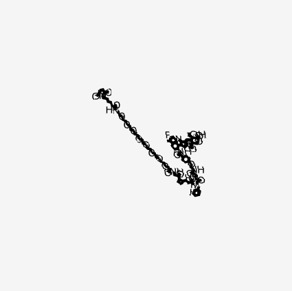 CC[C@@]1(O)C(=O)OCc2c1cc1n(c2=O)Cc2c-1nc1cc(F)c(C)c3c1c2[C@@H](NC(=O)C1CCC(OCNC(=O)CNC(=O)[C@H](Cc2ccccc2)NC(=O)CCC2CCC2C(=O)CNC(=O)COCCOCCOCCOCCOCCOCCOCCOCCNC(=O)CCCCCN2C(=O)C=CC2=O)CC1)CC3